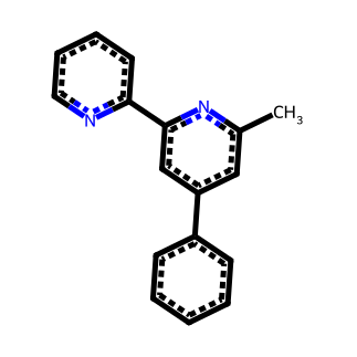 Cc1cc(-c2ccccc2)cc(-c2ccccn2)n1